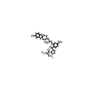 CN(C)C(=O)[C@@H]1CCCN1C(=O)c1ccc(O)cc1OC[C@H](O)CN1CCC2(CC1)Cc1cc(Cl)ccc1O2